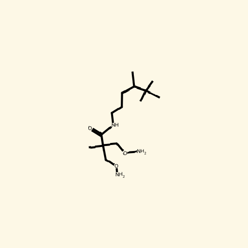 CC(CCCNC(=O)C(C)(CON)CON)C(C)(C)C